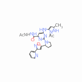 CC(=O)NNC(=O)c1cc(NC2=CC(C)NN2C(C)=O)nc(N2CCCC2c2cc(-c3ccccn3)no2)n1